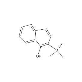 C[Si](C)(C)c1ccc2ccccc2c1O